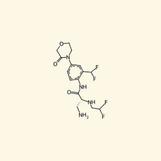 NC[C@@H](NCC(F)F)C(=O)Nc1ccc(N2CCOCC2=O)cc1C(F)F